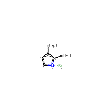 Br.CCCCCCCc1cc[nH]c1CCCCCCC